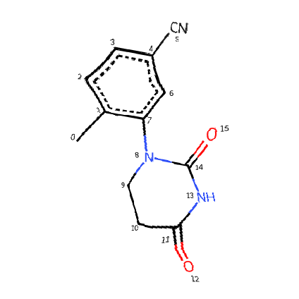 Cc1ccc(C#N)cc1N1CCC(=O)NC1=O